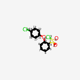 O=S(=O)(Cl)c1ccccc1Oc1ccc(Cl)cc1